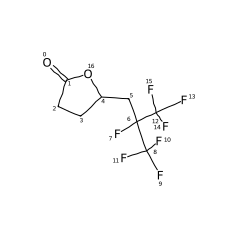 O=C1CCC(CC(F)(C(F)(F)F)C(F)(F)F)O1